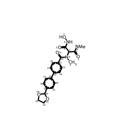 CNC(=O)C(C(=O)NO)N(C)C(=O)c1ccc(-c2ccc(C3OCCO3)cc2)cc1